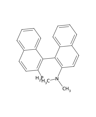 CN(C)c1ccc2ccccc2c1-c1c(P)ccc2ccccc12